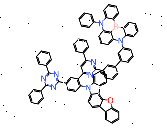 c1ccc(-c2cc(-c3cc(-c4nc(-c5ccccc5)nc(-c5ccccc5)n4)ccc3-n3c4ccccc4c4c5oc6ccccc6c5ccc43)nc(-c3cccc(-c4cccc(N5c6ccccc6B6c7ccccc7N(c7ccccc7)c7cccc5c76)c4)c3)n2)cc1